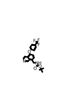 CC(C)(C)OC(=O)NCc1ccc(Oc2ccc(C(F)(F)F)cc2)c2ccncc12